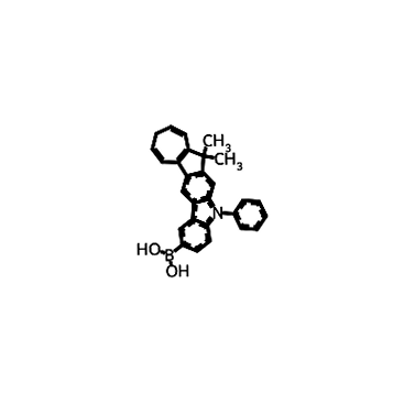 CC1(C)C2=C(C=CCC=C2)c2cc3c4cc(B(O)O)ccc4n(-c4ccccc4)c3cc21